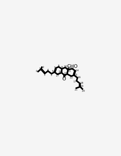 CC(C)=CCCC1=CCC2CC3(C=O)CC=C(CCC=C(C)C)CC3C(=O)C2C1